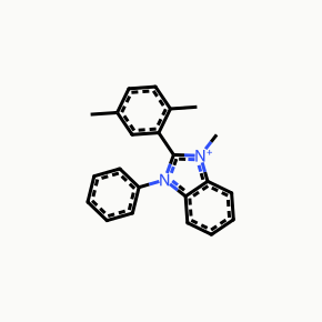 Cc1ccc(C)c(-c2n(-c3ccccc3)c3ccccc3[n+]2C)c1